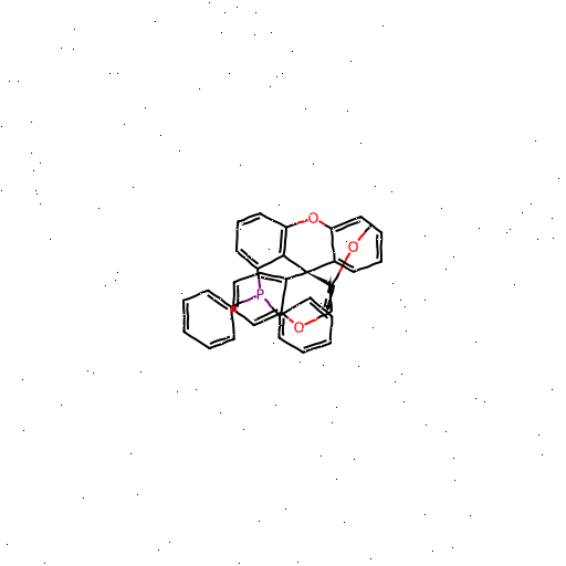 COc1cccc2c1[C@]1(c3ccccc3O2)c2ccccc2Oc2cccc(P(c3ccccc3)c3ccccc3)c21